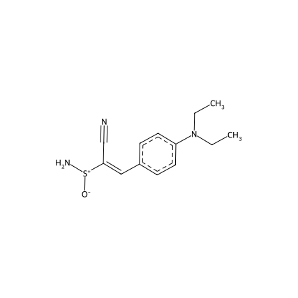 CCN(CC)c1ccc(/C=C(\C#N)[S+](N)[O-])cc1